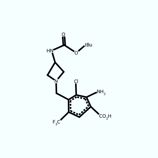 CC(C)(C)OC(=O)NC1CN(Cc2c(C(F)(F)F)cc(C(=O)O)c(N)c2Cl)C1